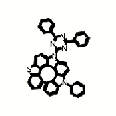 c1ccc(-c2nc(-c3ccccc3)nc(-n3c4ccc5sc6cccc7c8cccc9c8c8c(c4c5c67)c3ccc8n9-c3ccccc3)n2)cc1